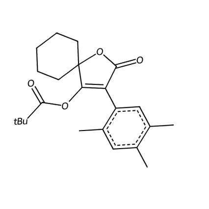 Cc1cc(C)c(C2=C(OC(=O)C(C)(C)C)C3(CCCCC3)OC2=O)cc1C